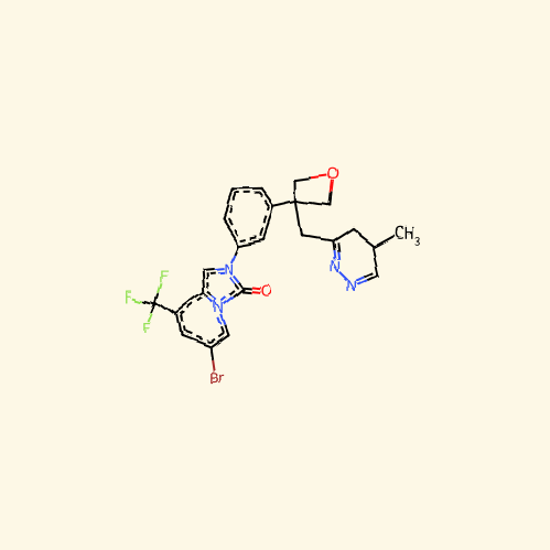 CC1C=NN=C(CC2(c3cccc(-n4cc5c(C(F)(F)F)cc(Br)cn5c4=O)c3)COC2)C1